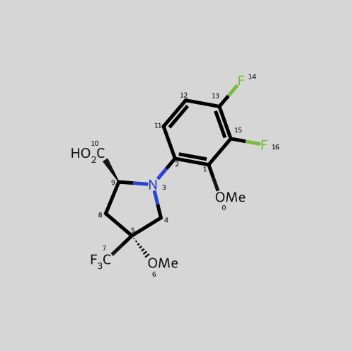 COc1c(N2C[C@@](OC)(C(F)(F)F)C[C@H]2C(=O)O)ccc(F)c1F